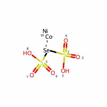 O=S(=O)(O)[Se]S(=O)(=O)O.[Co].[Ni]